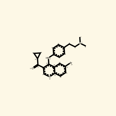 CN(C)CCc1ccc(Nc2c(C(=O)C3CC3)cnc3ccc(Br)cc23)cc1